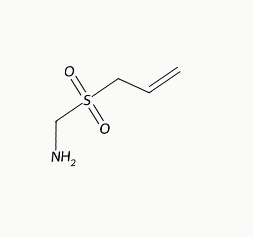 C=CCS(=O)(=O)CN